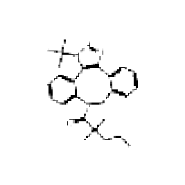 CCCC(C)(C)C(=O)N1Cc2ccccc2-c2nnn(C(C)(C)C)c2-c2ccccc21